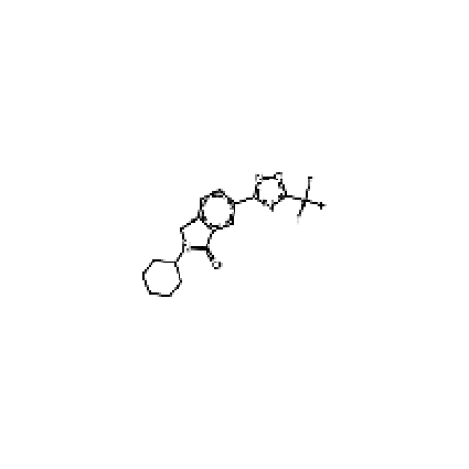 O=C1c2cc(-c3noc(C(F)(F)F)n3)ccc2CN1C1CCCCC1